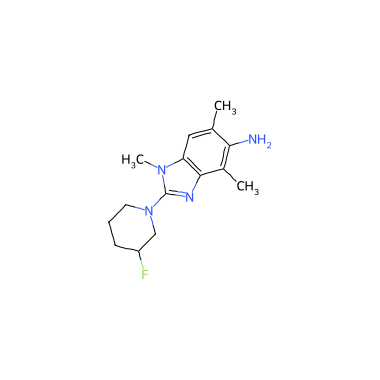 Cc1cc2c(nc(N3CCCC(F)C3)n2C)c(C)c1N